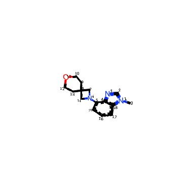 Cn1cnc2c(N3CC4(CCOCC4)C3)cccc21